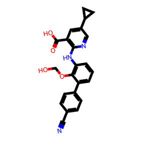 N#Cc1ccc(-c2cccc(Nc3ncc(C4CC4)cc3C(=O)O)c2OCO)cc1